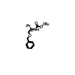 CC(C)[C@H](COCc1ccccc1)NC(=O)OC(C)(C)C